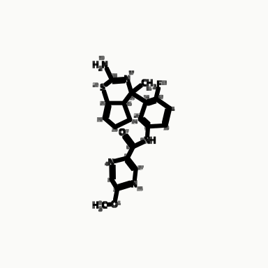 COc1cnc(C(=O)Nc2ccc(F)c(C3(C)N=C(N)SC4=CCCC43)c2)cn1